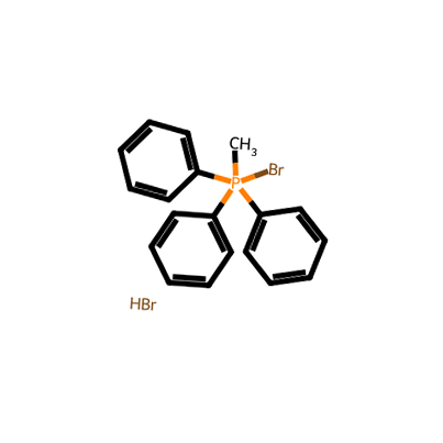 Br.CP(Br)(c1ccccc1)(c1ccccc1)c1ccccc1